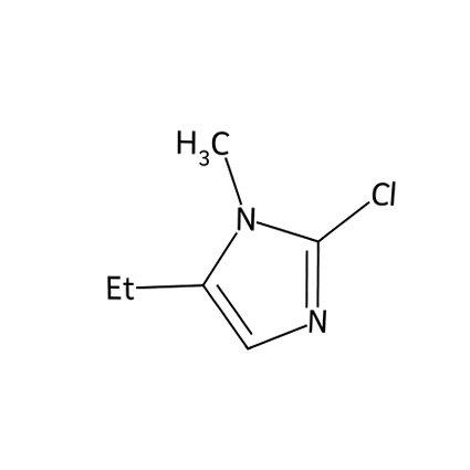 CCc1cnc(Cl)n1C